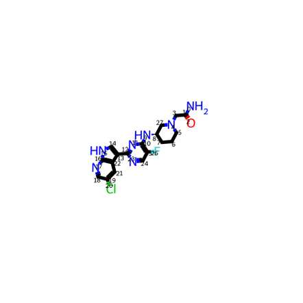 NC(=O)CN1CCC[C@H](Nc2nc(-c3c[nH]c4ncc(Cl)cc34)ncc2F)C1